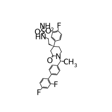 C[C@@H](c1ccc(-c2ccc(F)cc2F)cc1)N1CC[C@@](CCNS(N)(=O)=O)(c2ccc(F)cc2)CC1=O